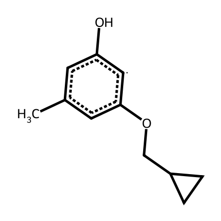 Cc1cc(O)[c]c(OCC2CC2)c1